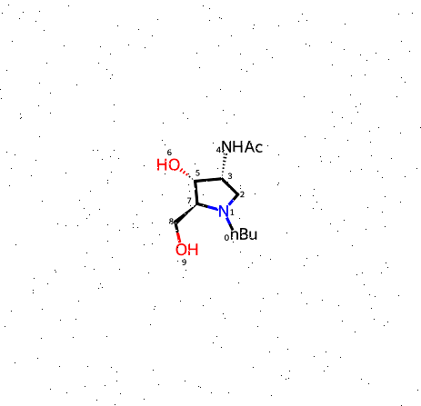 CCCCN1C[C@@H](NC(C)=O)[C@@H](O)[C@@H]1CO